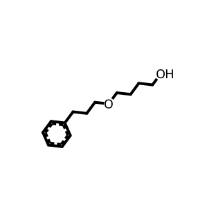 OCCCCOCCCc1ccccc1